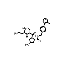 CSC[C@H](NC(=O)CCC(C)C)C(=O)N1C[C@H](O)C[C@H]1C(=O)NCc1ccc(-c2ocnc2C)cc1